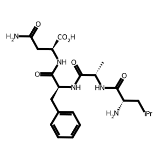 CC(C)C[C@H](N)C(=O)N[C@@H](C)C(=O)N[C@@H](Cc1ccccc1)C(=O)N[C@@H](CC(N)=O)C(=O)O